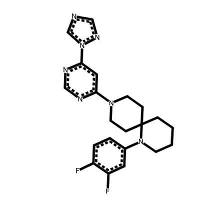 Fc1ccc(N2CCCCC23CCN(c2cc(-n4cncn4)ncn2)CC3)cc1F